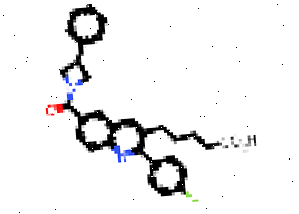 O=C(O)CCCCc1cc2cc(C(=O)N3CC(c4ccccc4)C3)ccc2nc1-c1ccc(F)cc1